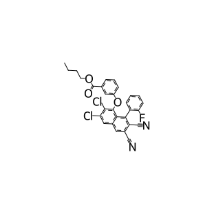 CCCCOC(=O)c1cccc(Oc2c(Cl)c(Cl)cc3cc(C#N)c(C#N)c(-c4ccccc4F)c23)c1